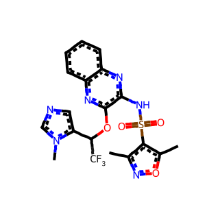 Cc1noc(C)c1S(=O)(=O)Nc1nc2ccccc2nc1OC(c1cncn1C)C(F)(F)F